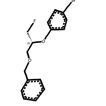 FC[C@@H](COCc1ccccc1)Oc1[c]cc(Br)cc1